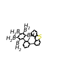 Bc1c(B)c(B)c(-c2cccc(-c3cccc4sc5ccccc5c34)c2C)c(B)c1B